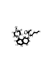 CCCCN(C(C)=O)C1CCc2cccc(N3CCN(C)CC3)c2C1